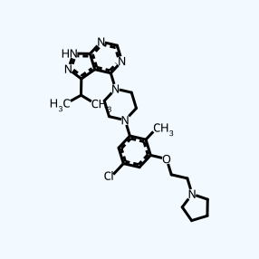 Cc1c(OCCN2CCCC2)cc(Cl)cc1N1CCN(c2ncnc3[nH]nc(C(C)C)c23)CC1